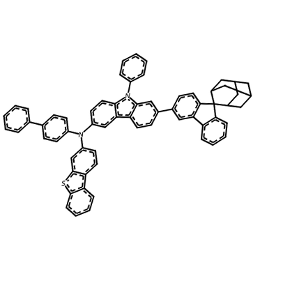 c1ccc(-c2ccc(N(c3ccc4c(c3)sc3ccccc34)c3ccc4c(c3)c3ccc(-c5ccc6c(c5)-c5ccccc5C65C6CC7CC(C6)CC5C7)cc3n4-c3ccccc3)cc2)cc1